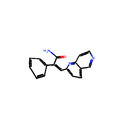 NC(=O)C(=Cc1ccc2cnccc2n1)c1ccccc1